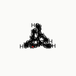 CCCCC(CCCc1cc(CCCC(CCCC)(C(=O)OCCCOC2CC(C)(C)N(O)C(C)(C)C2)C(=O)OCCCOC2CC(C)(C)N(O)C(C)(C)C2)cc(CCCC(CCCC)(C(=O)OCCCOC2CC(C)(C)N(O)C(C)(C)C2)C(=O)OCCCOC2CC(C)(C)N(O)C(C)(C)C2)c1)(C(=O)OCCCOC(CCC)CC(C)(C)N(O)CC)C(=O)OCCCOC1CC(C)(C)N(O)C(C)(C)C1